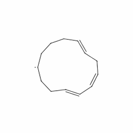 [CH]1CC/C=C/C=C\C/C=C/CCC1